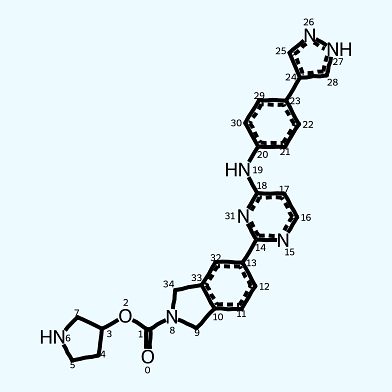 O=C(OC1CCNC1)N1Cc2ccc(-c3nccc(Nc4ccc(-c5cn[nH]c5)cc4)n3)cc2C1